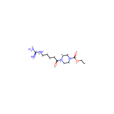 CCOC(=O)N1CCN(C(=O)CCCCNC(=N)N)CC1